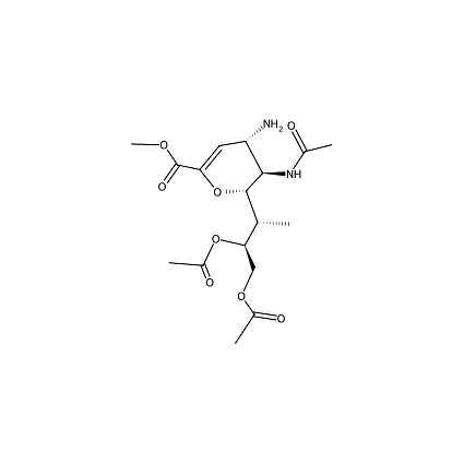 COC(=O)C1=C[C@H](N)[C@@H](NC(C)=O)[C@H]([C@H](C)[C@@H](COC(C)=O)OC(C)=O)O1